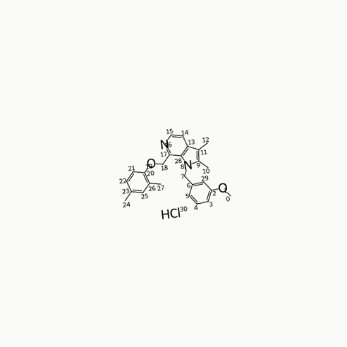 COc1cccc(Cn2c(C)c(C)c3ccnc(COc4ccc(C)cc4C)c32)c1.Cl